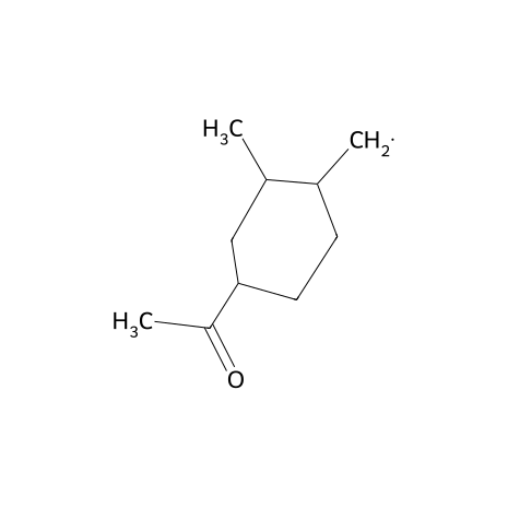 [CH2]C1CCC(C(C)=O)CC1C